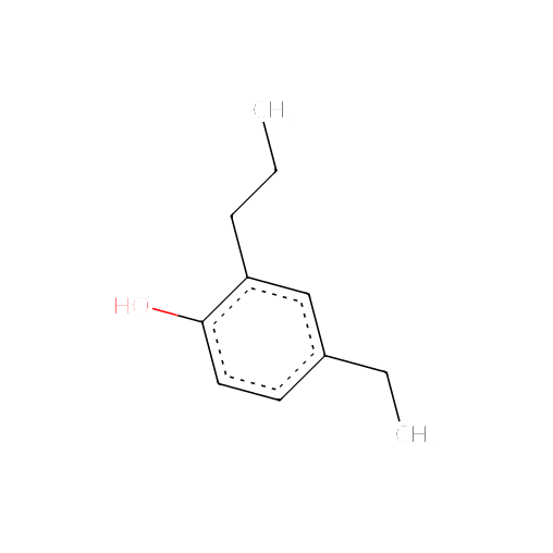 CCCc1cc(CC)ccc1O